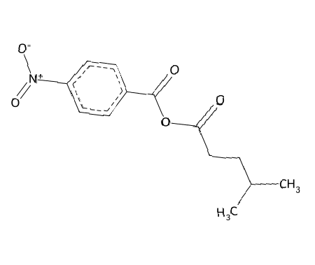 CC(C)CCC(=O)OC(=O)c1ccc([N+](=O)[O-])cc1